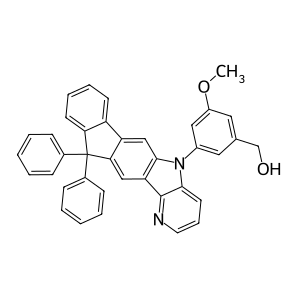 COc1cc(CO)cc(-n2c3cc4c(cc3c3ncccc32)C(c2ccccc2)(c2ccccc2)c2ccccc2-4)c1